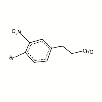 O=CCCc1ccc(Br)c([N+](=O)[O-])c1